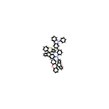 C1=CC2=C(CC1)Oc1ccccc1C21c2ccccc2-c2ccc(N(c3cccc(-c4ccc5c6ccccc6n(-c6ccccc6)c5c4)c3)c3ccc4c(c3)C3(c5ccccc5Sc5ccccc53)c3ccccc3-4)cc21